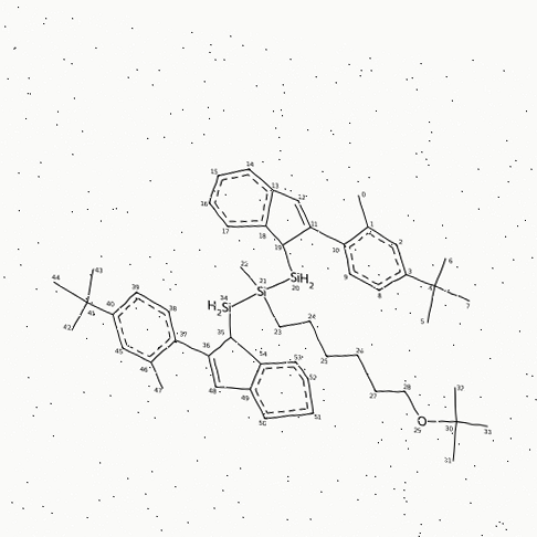 Cc1cc(C(C)(C)C)ccc1C1=Cc2ccccc2C1[SiH2][Si](C)(CCCCCCOC(C)(C)C)[SiH2]C1C(c2ccc(C(C)(C)C)cc2C)=Cc2ccccc21